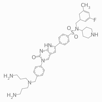 CC1=CC(F)=CC(CN(C2CCNCC2)S(=O)(=O)c2ccc(-c3cc4cn(-c5ccc(CN(CCCN)CCCN)cc5)c(=O)nc4[nH]3)cc2)C1